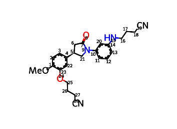 COc1ccc([C@H]2CC(=O)N(c3cccc(NCCCC#N)c3)C2)cc1OCCCC#N